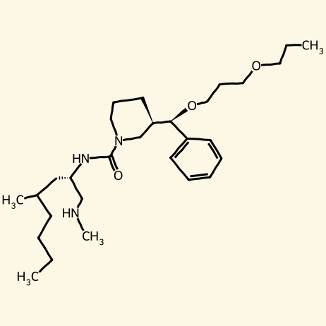 CCCCC(C)C[C@@H](CNC)NC(=O)N1CCC[C@@H]([C@@H](OCCCOCCC)c2ccccc2)C1